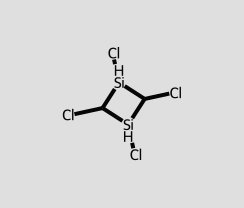 ClC1[SiH](Cl)C(Cl)[SiH]1Cl